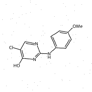 COc1ccc(Nc2ncc(Cl)c(O)n2)cc1